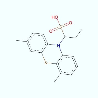 CCC(N1c2ccc(C)cc2Sc2c(C)cccc21)S(=O)(=O)O